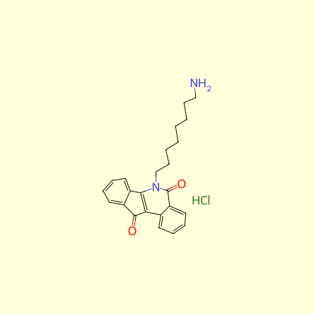 Cl.NCCCCCCCCn1c2c(c3ccccc3c1=O)C(=O)c1ccccc1-2